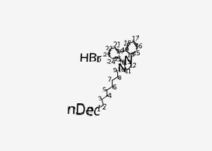 Br.CCCCCCCCCCCCCCCCCCN1CCN2c3ccccc3-c3ccccc3C12